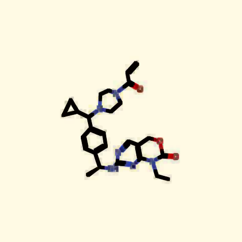 C=CC(=O)N1CCN(C(c2ccc([C@H](C)Nc3ncc4c(n3)N(CC)C(=O)OC4)cc2)C2CC2)CC1